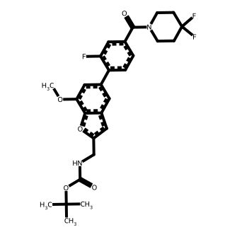 COc1cc(-c2ccc(C(=O)N3CCC(F)(F)CC3)cc2F)cc2cc(CNC(=O)OC(C)(C)C)oc12